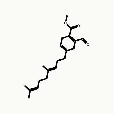 COC(=O)C1=C(C=O)CC(CC/C=C(\C)CCC=C(C)C)=CC1